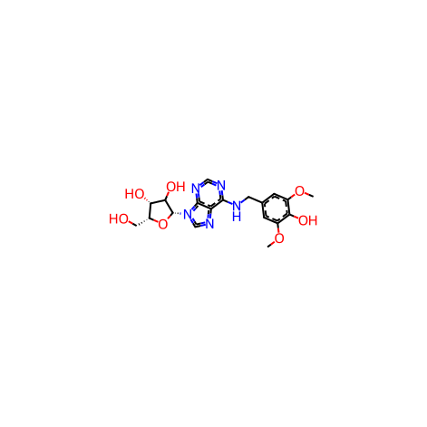 COc1cc(CNc2ncnc3c2ncn3[C@@H]2O[C@H](CO)[C@H](O)C2O)cc(OC)c1O